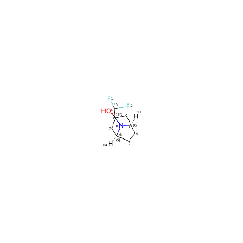 O[C@H]1C[C@H]2CC[C@@H](C1)N2CC(F)F